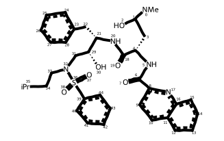 CNC(O)C[C@H](NC(=O)c1ccc2ccccc2n1)C(=O)N[C@@H](Cc1ccccc1)[C@H](O)CN(CCC(C)C)S(=O)(=O)c1ccccc1